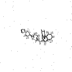 Clc1ccc(N2CCN(Cc3cc4ccccc4[nH]3)CC2)cc1